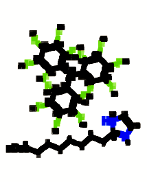 CCCCCCCCCCCCCCCCCc1ncc[nH]1.Fc1c(F)c(F)[c]([Al]([c]2c(F)c(F)c(F)c(F)c2F)[c]2c(F)c(F)c(F)c(F)c2F)c(F)c1F